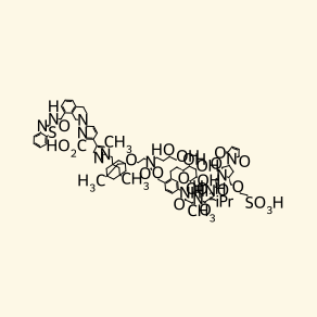 Cc1c(-c2ccc(N3CCc4cccc(C(=O)Nc5nc6ccccc6s5)c4C3)nc2C(=O)O)cnn1CC12CC3(C)CC(C)(C1)CC(OCCN(CCC(O)CO)C(=O)OCc1ccc(NC(=O)C(C)NC(=O)C(NC(=O)CN4C(=O)[C@@H](N5C(=O)C=CC5=O)C[C@H]4COCCS(=O)(=O)O)C(C)C)cc1CC[C@@H]1O[C@H](C(=O)O)[C@@H](O)[C@H](O)[C@H]1O)(C3)C2